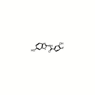 O=C(Nc1nc2ccc(O)cc2s1)c1ccc(F)c(O)c1